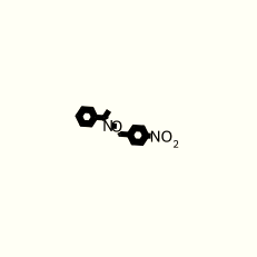 C/C(=N\OCc1ccc([N+](=O)[O-])cc1)c1ccccc1